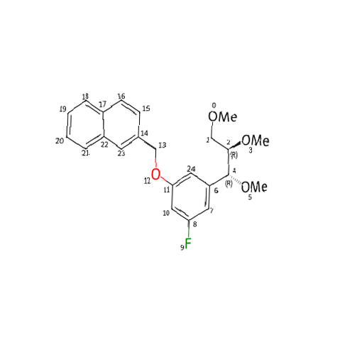 COC[C@@H](OC)[C@H](OC)c1cc(F)cc(OCc2ccc3ccccc3c2)c1